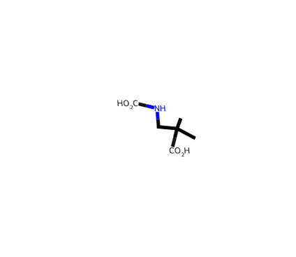 CC(C)(CNC(=O)O)C(=O)O